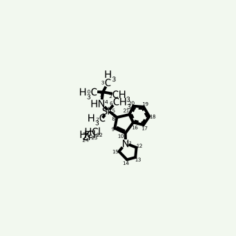 CC(C)(C)N[Si](C)(C)C1C=C(N2CCCC2)c2ccccc21.Cl.Cl.[Zr]